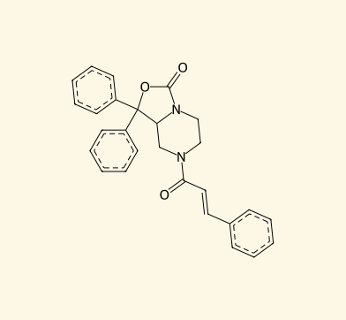 O=C(/C=C/c1ccccc1)N1CCN2C(=O)OC(c3ccccc3)(c3ccccc3)C2C1